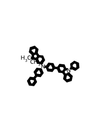 CC1(C)C2=CC(N(c3ccc(C4=CC5c6ccccc6N(C6=CC=CCC6)C5C=C4)cc3)c3ccc(-c4ccccc4)cc3)=CCC2c2ccccc21